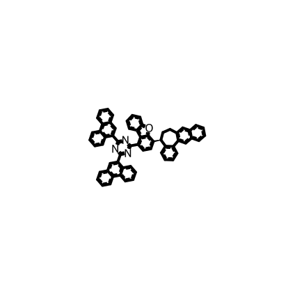 c1ccc2c(c1)-c1cc3ccccc3cc1CC[C@@H]2c1ccc(-c2nc(-c3cc4ccccc4c4ccccc34)nc(-c3cc4ccccc4c4ccccc34)n2)c2c1oc1ccccc12